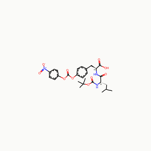 CC(C)C[C@H](NC(=O)OC(C)(C)C)C(=O)N[C@@H](Cc1ccc(OC(=O)Oc2ccc([N+](=O)[O-])cc2)cc1)C(=O)O